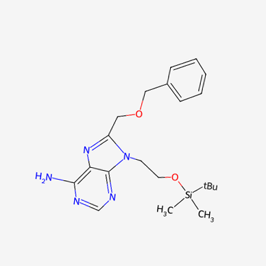 CC(C)(C)[Si](C)(C)OCCn1c(COCc2ccccc2)nc2c(N)ncnc21